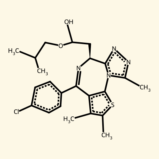 Cc1sc2c(c1C)C(c1ccc(Cl)cc1)=N[C@@H](CC(O)OCC(C)C)c1nnc(C)n1-2